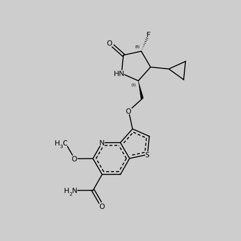 COc1nc2c(OC[C@H]3NC(=O)[C@H](F)C3C3CC3)csc2cc1C(N)=O